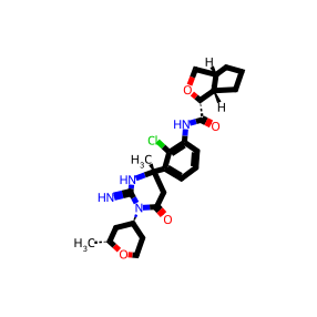 C[C@@H]1C[C@H](N2C(=N)N[C@](C)(c3cccc(NC(=O)[C@@H]4OC[C@@H]5CCC[C@@H]54)c3Cl)CC2=O)CCO1